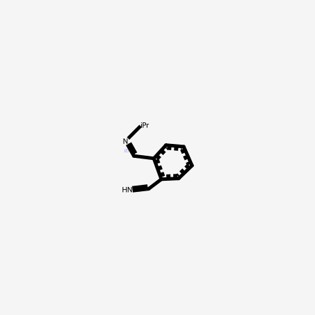 CC(C)/N=C\c1ccccc1C=N